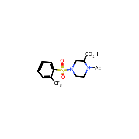 CC(=O)N1CCN(S(=O)(=O)c2ccccc2C(F)(F)F)CC1C(=O)O